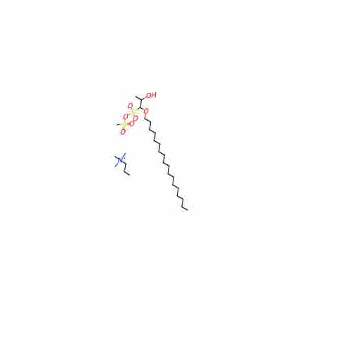 CCCCCCCCCCCCCCCCCCOC(C(C)O)S(=O)(=O)OS(C)(=O)=O.CCC[N+](C)(C)C